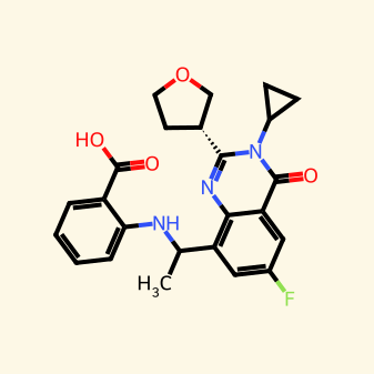 CC(Nc1ccccc1C(=O)O)c1cc(F)cc2c(=O)n(C3CC3)c([C@@H]3CCOC3)nc12